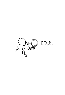 CCOC(=O)c1ccc(N2CCC[C@@H](N)[C@@]2(C)OC)cc1